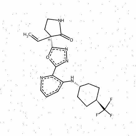 C=C[C@@]1(c2nnc(-c3ncccc3N[C@H]3CC[C@H](C(F)(F)F)CC3)o2)CCNC1=O